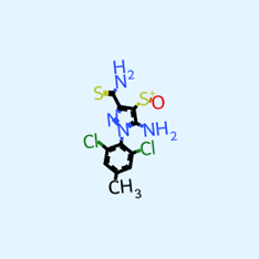 Cc1cc(Cl)c(-n2nc(C(N)=S)c([S+]=O)c2N)c(Cl)c1